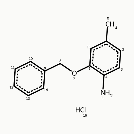 Cc1ccc(N)c(OCc2ccccc2)c1.Cl